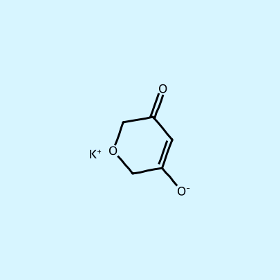 O=C1C=C([O-])COC1.[K+]